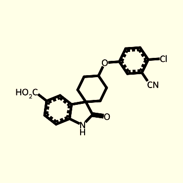 N#Cc1cc(OC2CCC3(CC2)C(=O)Nc2ccc(C(=O)O)cc23)ccc1Cl